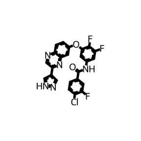 O=C(Nc1cc(F)c(F)c(Oc2ccc3ncc(-c4cn[nH]c4)nc3c2)c1)c1ccc(Cl)c(F)c1